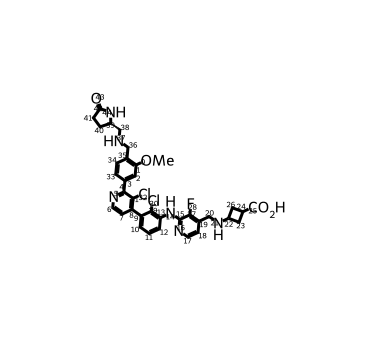 COc1cc(-c2nccc(-c3cccc(Nc4nccc(CNC5CC(C(=O)O)C5)c4F)c3Cl)c2Cl)ccc1CNC[C@H]1CCC(=O)N1